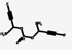 O=[PH](OC([SiH3])C#CF)OC([SiH3])C#CF